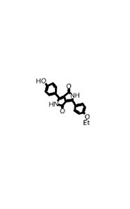 CCOc1ccc(C2=C3C(=O)NC(c4ccc(O)cc4)=C3C(=O)N2)cc1